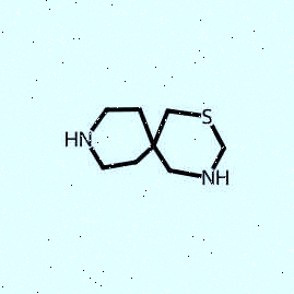 C1CC2(CCN1)CNCSC2